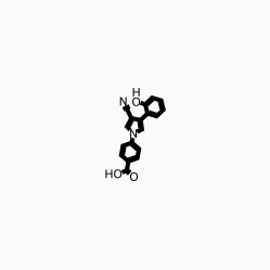 N#Cc1cn(-c2ccc(C(=O)O)cc2)cc1-c1ccccc1O